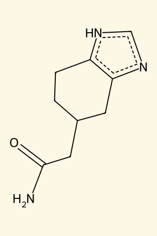 NC(=O)CC1CCc2[nH]cnc2C1